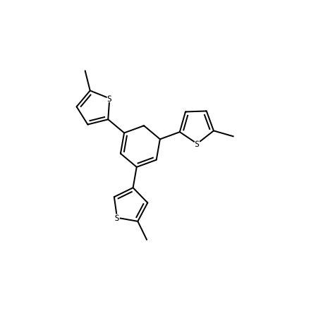 Cc1cc(C2=CC(c3ccc(C)s3)CC(c3ccc(C)s3)=C2)cs1